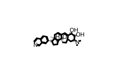 CN(C)[C@H]1CC23CC[C@@]4(O2)C(=CC[C@]2(C)[C@@H](c5ccc6ccncc6c5)CC[C@H]24)C=C3[C@@H](O)[C@@H]1O